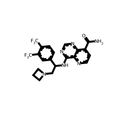 NC(=O)c1ccnc2c(NC(CN3CCC3)c3ccc(C(F)(F)F)c(C(F)(F)F)c3)ncnc12